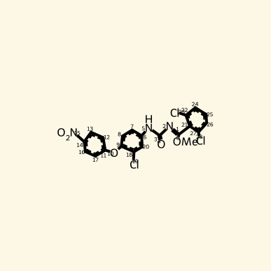 COC(=NC(=O)Nc1ccc(Oc2ccc([N+](=O)[O-])cc2)c(Cl)c1)c1c(Cl)cccc1Cl